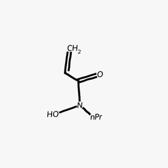 C=CC(=O)N(O)CCC